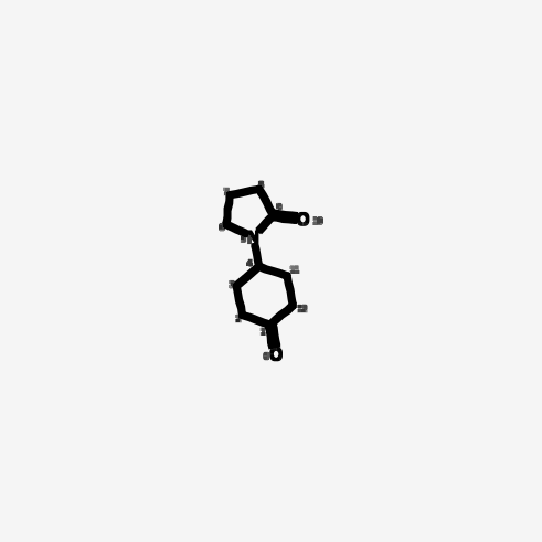 O=C1CCC(N2CCCC2=O)CC1